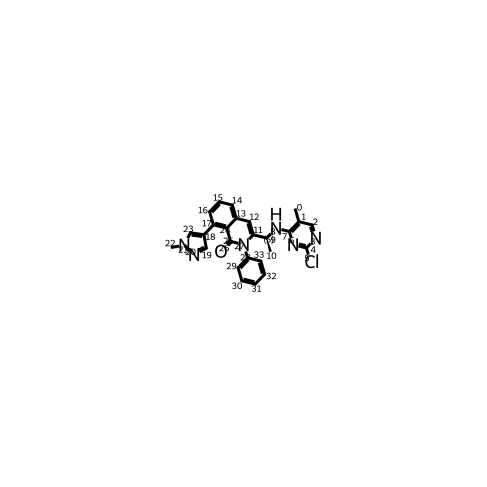 Cc1cnc(Cl)nc1N[C@@H](C)c1cc2cccc(-c3cnn(C)c3)c2c(=O)n1-c1ccccc1